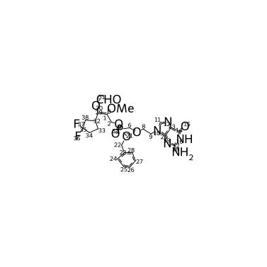 CO/C(COP(=O)(COCCn1cnc2c(=O)[nH]c(N)nc21)OCc1ccccc1)=C(\OC=O)C1CCC(F)(F)C1